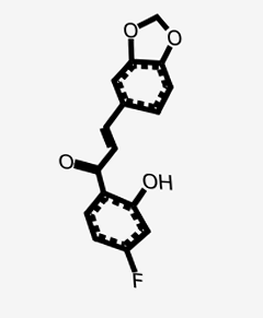 O=C(/C=C/c1ccc2c(c1)OCO2)c1ccc(F)cc1O